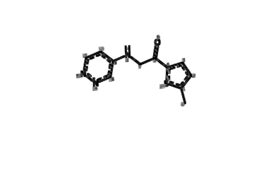 Cc1ccc(C(=O)CNc2ccnnc2)s1